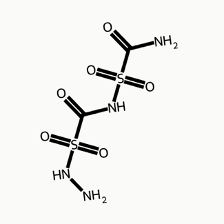 NNS(=O)(=O)C(=O)NS(=O)(=O)C(N)=O